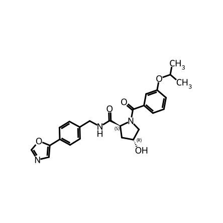 CC(C)Oc1cccc(C(=O)N2C[C@H](O)C[C@H]2C(=O)NCc2ccc(-c3cnco3)cc2)c1